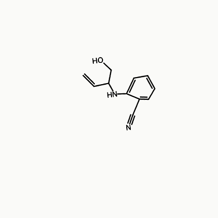 C=CC(CO)Nc1ccccc1C#N